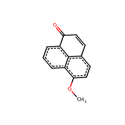 COc1ccc2c3c(cccc13)C(=O)C=C2